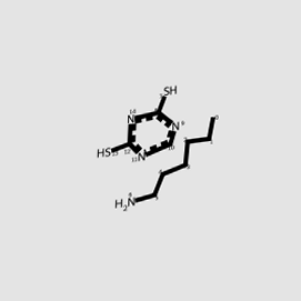 CCCCCCN.Sc1ncnc(S)n1